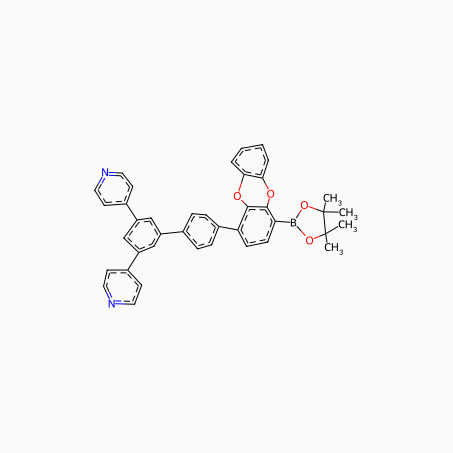 CC1(C)OB(c2ccc(-c3ccc(-c4cc(-c5ccncc5)cc(-c5ccncc5)c4)cc3)c3c2Oc2ccccc2O3)OC1(C)C